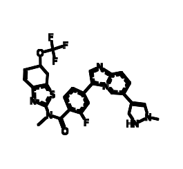 CN1C=C(c2ccc3ncc(-c4ccc(C(=O)N(C)c5nc6c(s5)CC(OC(F)(F)F)C=C6)c(F)c4)n3c2)CN1